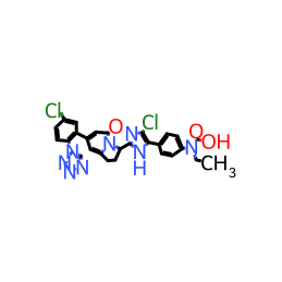 CCN(C(=O)O)c1ccc(-c2[nH]c(C3CCc4cc(-c5cc(Cl)ccc5-n5cnnn5)cc(=O)n43)nc2Cl)cc1